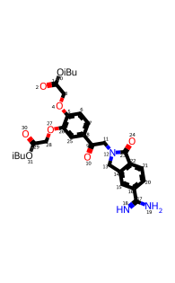 CC(C)COC(=O)COc1ccc(C(=O)CN2Cc3cc(C(=N)N)ccc3C2=O)cc1OCC(=O)OCC(C)C